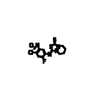 O=[N+]([O-])c1cc(N=c2sc(=S)n3n2CCCC3)c(F)cc1Cl